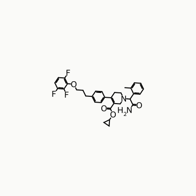 Cc1ccccc1C(C(N)=O)N1CCC(c2ccc(CCCOc3c(F)ccc(F)c3F)cc2)=C(C(=O)OC2CC2)C1